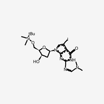 CN(C)/C=N\c1nc2c(c(I)cn2[C@H]2C[C@@H](O)[C@@H](CO[Si](C)(C)C(C)(C)C)O2)c(=O)[nH]1